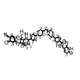 CC1(C)C(NC(=O)c2cnc(N3CCC(CN4CCN(c5ccc(C(=O)NC6CCC(=O)NC6=O)nc5)CC4)CC3)cn2)C(C)(C)C1Oc1ccc(C#N)c(Cl)c1